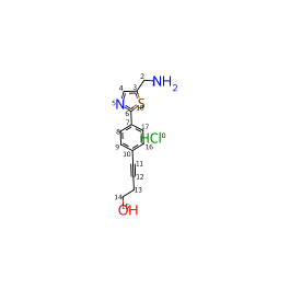 Cl.NCc1cnc(-c2ccc(C#CCCO)cc2)s1